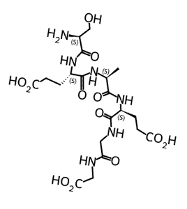 C[C@H](NC(=O)[C@H](CCC(=O)O)NC(=O)[C@@H](N)CO)C(=O)N[C@@H](CCC(=O)O)C(=O)NCC(=O)NCC(=O)O